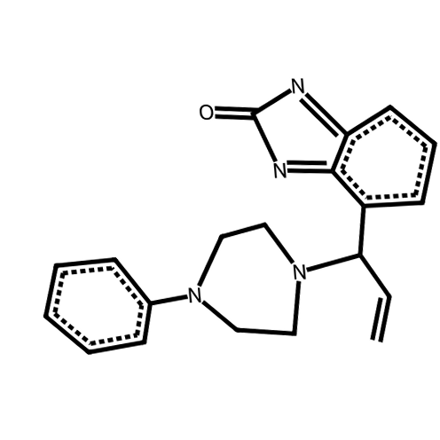 C=CC(c1cccc2c1=NC(=O)N=2)N1CCN(c2ccccc2)CC1